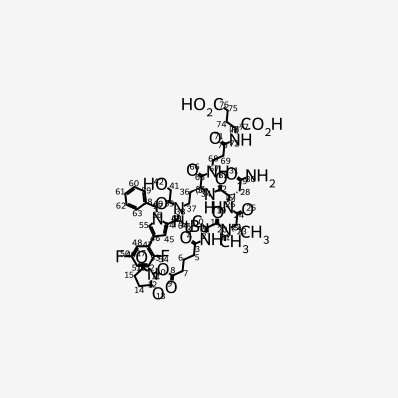 C[C@H](NC(=O)CCCC(=O)ON1C(=O)CCC1=O)C(=O)N(C)[C@@H](C)C(=O)N[C@@H](CC(N)=O)C(=O)N[C@@H](CCN(C(=O)CO)[C@@H](c1cc(-c2cc(F)ccc2F)cn1Cc1ccccc1)C(C)(C)C)C(=O)NCCC(=O)N[C@H](CCC(=O)O)C(=O)O